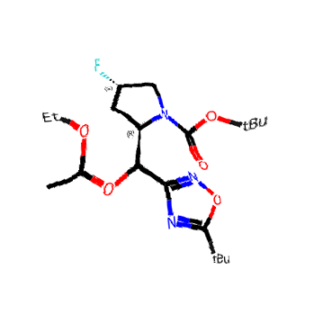 CCOC(C)OC(c1noc(C(C)(C)C)n1)[C@H]1C[C@H](F)CN1C(=O)OC(C)(C)C